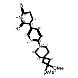 COC1(OC)CC2(CCN(c3ccc(C4CCC(=O)NC4=O)cn3)CC2)C1